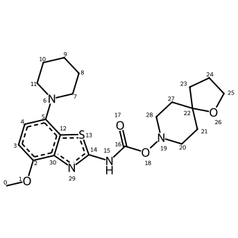 COc1ccc(N2CCCCC2)c2sc(NC(=O)ON3CCC4(CCCO4)CC3)nc12